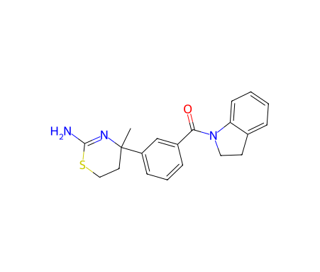 CC1(c2cccc(C(=O)N3CCc4ccccc43)c2)CCSC(N)=N1